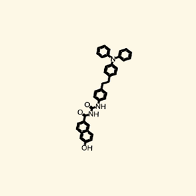 O=C(NC(=O)c1ccc2cc(O)ccc2c1)Nc1ccc(CCc2ccc(N(c3ccccc3)c3ccccc3)cc2)cc1